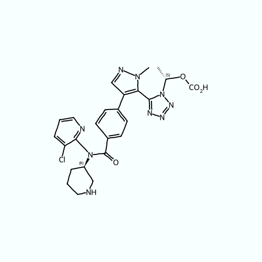 C[C@H](OC(=O)O)n1nnnc1-c1c(-c2ccc(C(=O)N(c3ncccc3Cl)[C@@H]3CCCNC3)cc2)cnn1C